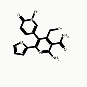 CCn1cc(-c2c(-c3ccco3)nc(N)c(C(N)=O)c2CC(C)C)ccc1=O